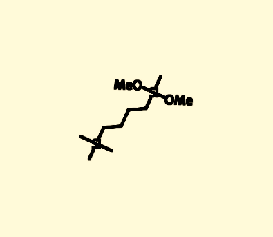 CO[Si](C)(CCCC[Si](C)(C)C)OC